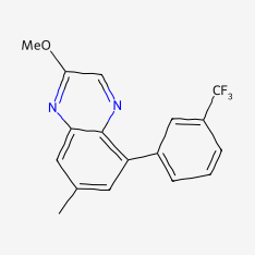 COc1cnc2c(-c3cccc(C(F)(F)F)c3)cc(C)cc2n1